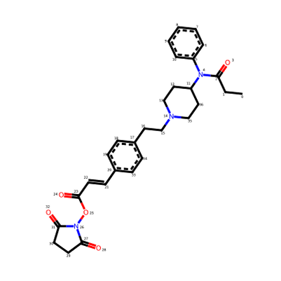 CCC(=O)N(c1ccccc1)C1CCN(CCc2ccc(/C=C/C(=O)ON3C(=O)CCC3=O)cc2)CC1